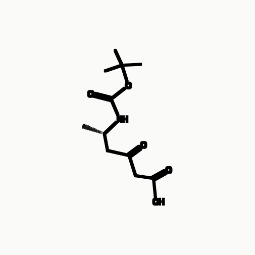 C[C@@H](CC(=O)CC(=O)O)NC(=O)OC(C)(C)C